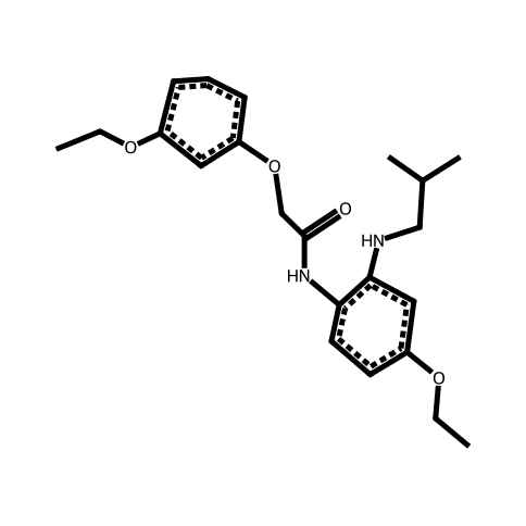 CCOc1cccc(OCC(=O)Nc2ccc(OCC)cc2NCC(C)C)c1